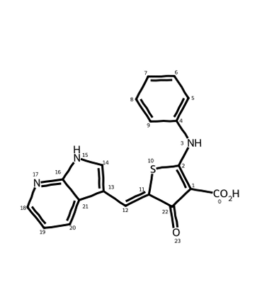 O=C(O)C1=C(Nc2ccccc2)SC(=Cc2c[nH]c3ncccc23)C1=O